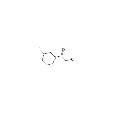 O=C(CCl)N1CCCC(F)C1